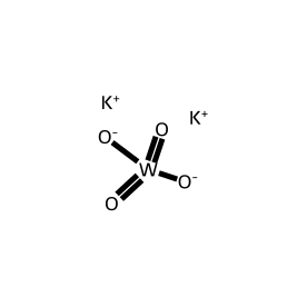 [K+].[K+].[O]=[W](=[O])([O-])[O-]